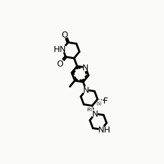 Cc1cc(C2CCC(=O)NC2=O)ncc1N1CC[C@@H](N2CCNCC2)[C@@H](F)C1